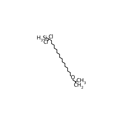 C=C(C)COCCCCCCCCCCCCCCCCC([SiH3])(Cl)Cl